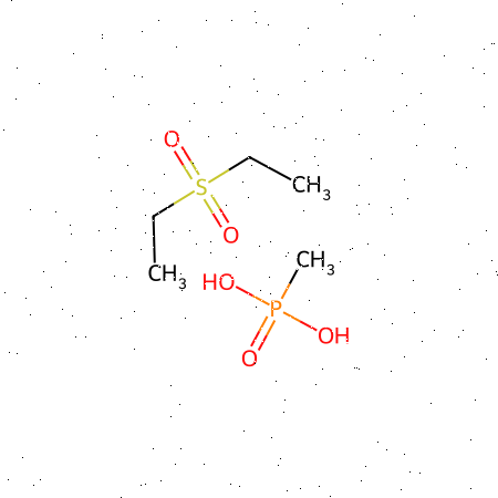 CCS(=O)(=O)CC.CP(=O)(O)O